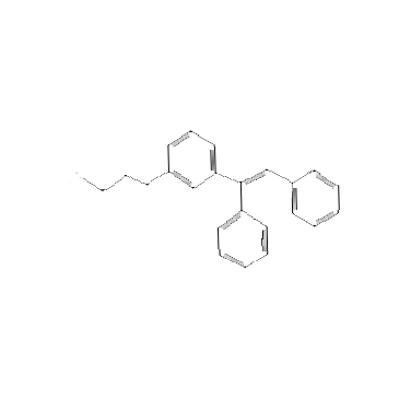 NCCCc1cccc(/C(=C/c2ccccc2)c2ccccc2)c1